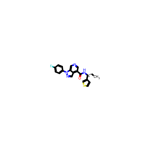 CC[C@@H](NC(=O)c1cncc2c1cnn2-c1ccc(F)cc1)c1ccsc1